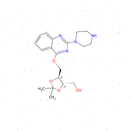 CC1(C)O[C@@H](CO)[C@H](COc2nc(N3CCNCC3)nc3ccccc23)O1